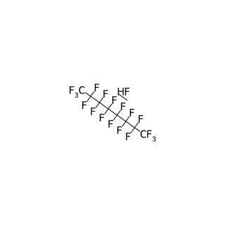 CC.F.FC(F)(F)C(F)(F)C(F)(F)C(F)(F)C(F)(F)C(F)(F)C(F)(F)C(F)(F)F